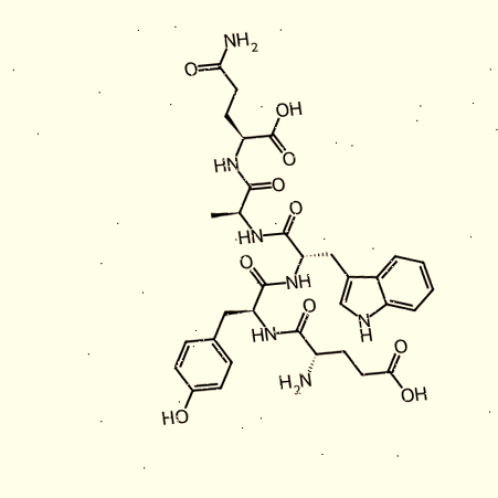 C[C@H](NC(=O)[C@H](Cc1c[nH]c2ccccc12)NC(=O)[C@H](Cc1ccc(O)cc1)NC(=O)[C@@H](N)CCC(=O)O)C(=O)N[C@@H](CCC(N)=O)C(=O)O